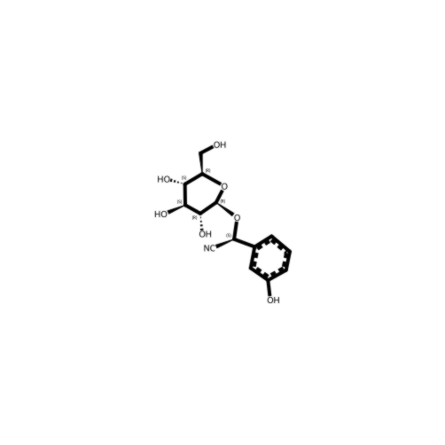 N#C[C@@H](O[C@@H]1O[C@H](CO)[C@@H](O)[C@H](O)[C@H]1O)c1cccc(O)c1